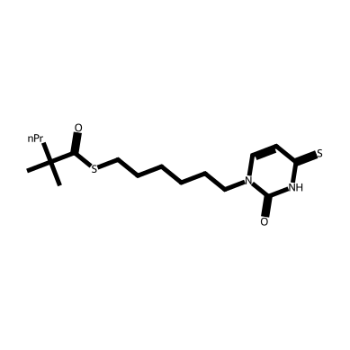 CCCC(C)(C)C(=O)SCCCCCCn1ccc(=S)[nH]c1=O